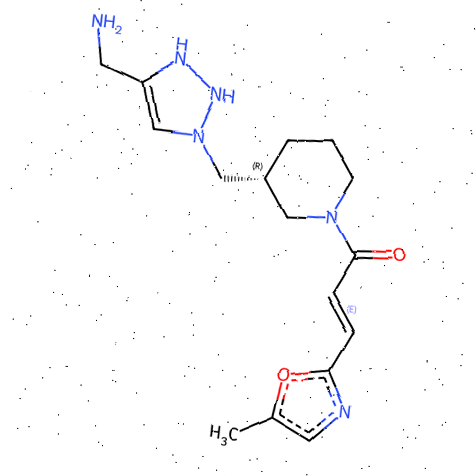 Cc1cnc(/C=C/C(=O)N2CCC[C@@H](CN3C=C(CN)NN3)C2)o1